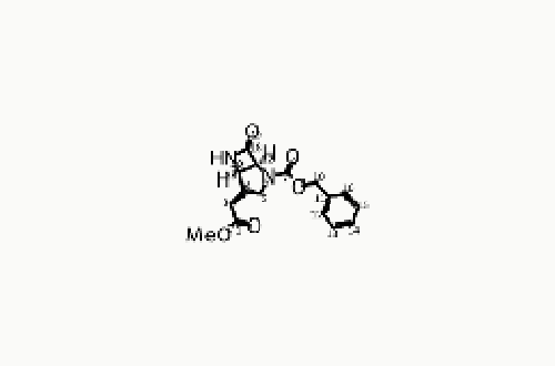 COC(=O)/C=C1\CN(C(=O)OCc2ccccc2)[C@@H]2C(=O)N[C@H]12